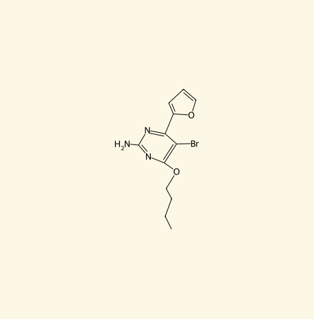 CCCCOc1nc(N)nc(-c2ccco2)c1Br